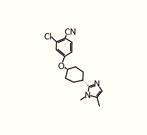 Cc1cnc([C@H]2CC[C@H](Oc3ccc(C#N)c(Cl)c3)CC2)n1C